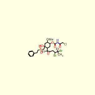 CCC(C)(Br)C(Br)CC1OC1(CC)C1CC(OC(=O)NC(=O)CCl)C(OC)CC1(O)CS(=O)(=O)CCc1ccccc1